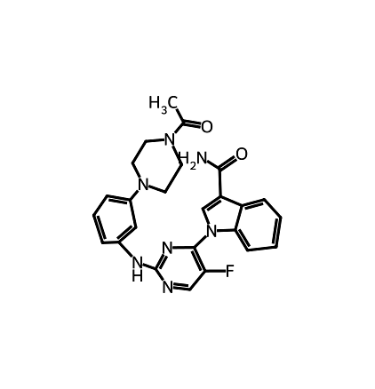 CC(=O)N1CCN(c2cccc(Nc3ncc(F)c(-n4cc(C(N)=O)c5ccccc54)n3)c2)CC1